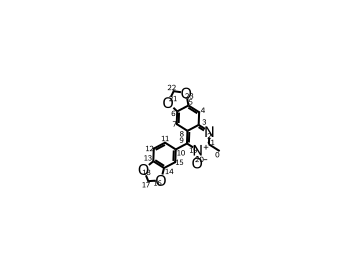 Cc1nc2cc3c(cc2c(-c2ccc4c(c2)OCO4)[n+]1[O-])OCO3